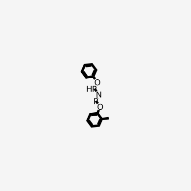 Cc1ccccc1OP=NPOc1ccccc1